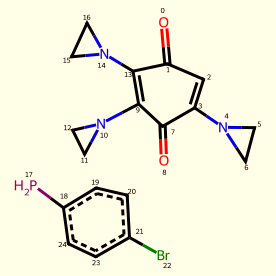 O=C1C=C(N2CC2)C(=O)C(N2CC2)=C1N1CC1.Pc1ccc(Br)cc1